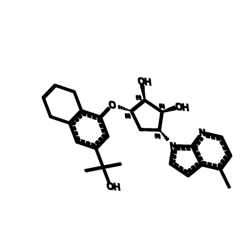 Cc1ccnc2c1ccn2[C@@H]1C[C@H](Oc2cc(C(C)(C)O)cc3c2CCCC3)[C@@H](O)[C@H]1O